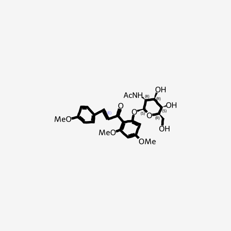 COc1ccc(/C=C/C(=O)c2c(OC)cc(OC)cc2O[C@@H]2O[C@H](CO)[C@@H](O)[C@H](O)[C@H]2NC(C)=O)cc1